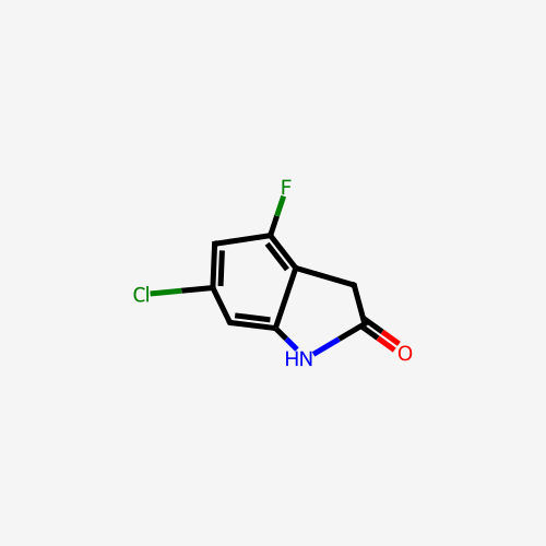 O=C1Cc2c(F)cc(Cl)cc2N1